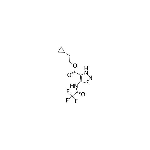 O=C(OCCC1CC1)c1[nH]ncc1NC(=O)C(F)(F)F